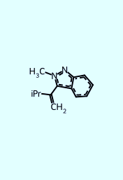 C=C(c1c2ccccc2nn1C)C(C)C